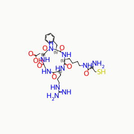 N=C(N)NCCC[C@@H]1NC(=O)[C@H](CCCCNC(=O)[C@@H](N)CS)NC(=O)[C@H](Cc2ccccc2)NC(=O)[C@@H](CC(=O)O)NC(=O)CNC1=O